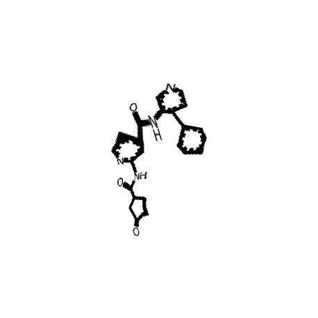 O=C1CCC(C(=O)Nc2cc(C(=O)Nc3cnccc3-c3ccccc3)ccn2)C1